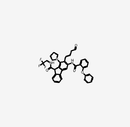 O=CCCCc1c(NC(=O)c2ccccc2Oc2ccccc2)cc2c(c1N1CCCC1)C(C(=O)NCC(F)(F)F)c1ccccc1-2